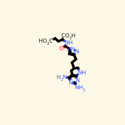 Nc1nc(N)c2c(n1)NCC(CCc1cc(C(=O)N[C@@H](CCC(=O)O)C(=O)O)[nH]n1)C2